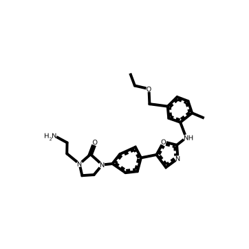 CCOCc1ccc(C)c(Nc2ncc(-c3ccc(N4CCN(CCN)C4=O)cc3)o2)c1